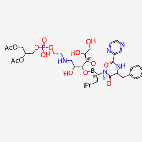 CC(=O)OCC(COP(=O)(O)OCCNCC(O)C1OB([C@H](CC(C)C)NC(=O)C(Cc2ccccc2)NC(=O)c2cnccn2)O[C@@H]1C(O)CO)OC(C)=O